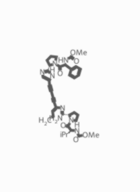 C=C/C=C(C#CC#Cc1cnc([C@@H]2CCCN2C(=O)[C@H](NC(=O)OC)c2ccccc2)[nH]1)\N=C(/N)[C@@H]1CCCN1C(=O)[C@@H](NC(=O)OC)C(C)C